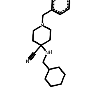 N#CC1(NCC2CCCCC2)CCN(Cc2ccccc2)CC1